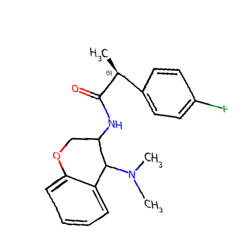 C[C@H](C(=O)NC1COc2ccccc2C1N(C)C)c1ccc(F)cc1